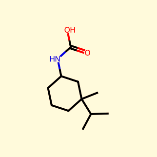 CC(C)C1(C)CCCC(NC(=O)O)C1